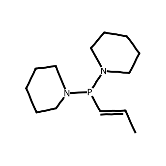 CC=CP(N1CCCCC1)N1CCCCC1